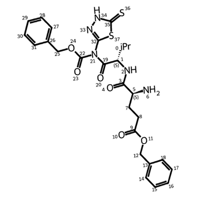 CC(C)[C@H](NC(=O)[C@@H](N)CCC(=O)OCc1ccccc1)C(=O)N(C(=O)OCc1ccccc1)c1n[nH]c(=S)s1